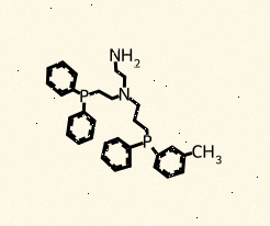 Cc1cccc(P(CCCN(CCN)CCP(c2ccccc2)c2ccccc2)c2ccccc2)c1